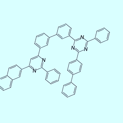 c1ccc(-c2ccc(-c3nc(-c4ccccc4)nc(-c4cccc(-c5cccc(-c6cc(-c7ccc8ccccc8c7)nc(-c7ccccc7)n6)c5)c4)n3)cc2)cc1